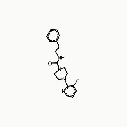 O=C(NCCc1ccccc1)N1CCN(c2ncccc2Cl)CC1